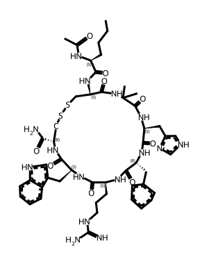 CCCC[C@H](NC(C)=O)C(=O)N[C@@H]1CSSC[C@@H](C(N)=O)NC(=O)[C@H](Cc2c[nH]c3ccccc23)NC(=O)[C@H](CCCNC(=N)N)NC(=O)[C@@H](Cc2ccccc2)NC(=O)[C@H](Cc2c[nH]cn2)NC(=O)C(C)(C)NC1=O